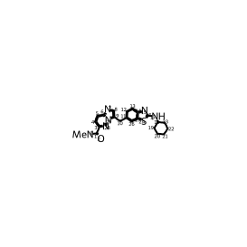 CNC(=O)c1ccc2ncc(Cc3ccc4nc(NC5CCCCC5)sc4c3)n2n1